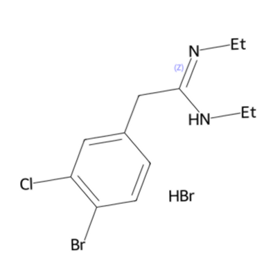 Br.CC/N=C(/Cc1ccc(Br)c(Cl)c1)NCC